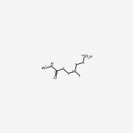 CC(C)NC(=O)CCN(C)CCS(=O)(=O)O